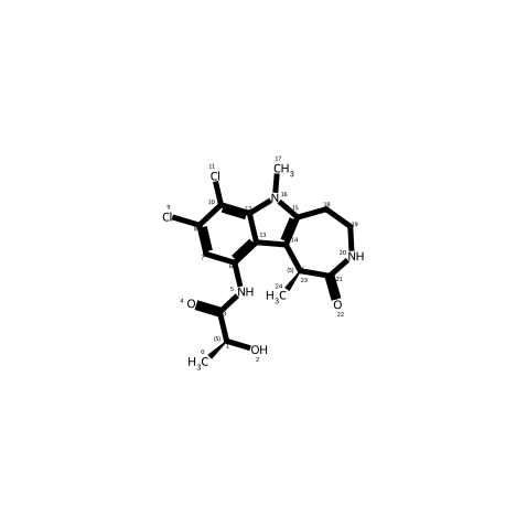 C[C@H](O)C(=O)Nc1cc(Cl)c(Cl)c2c1c1c(n2C)CCNC(=O)[C@H]1C